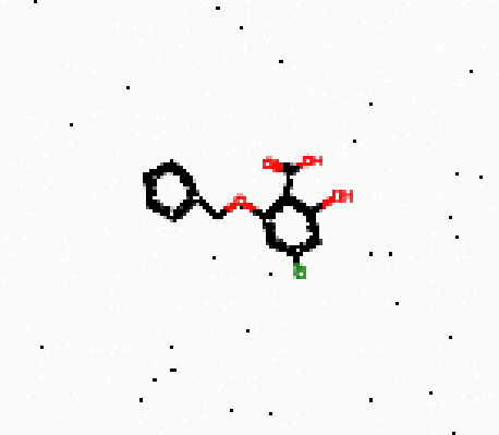 O=C(O)c1c(O)cc(Cl)cc1OCc1ccccc1